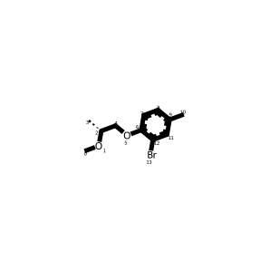 CO[C@H](C)COc1ccc(C)cc1Br